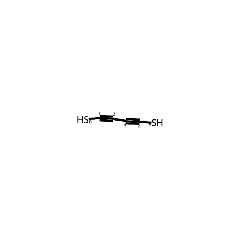 SC#CC#CS